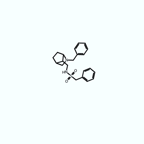 O=S(=O)(Cc1ccccc1)NCC1C2CCC1N(Cc1ccccc1)C2